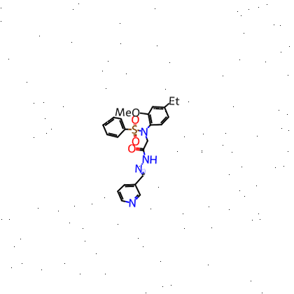 CCc1ccc(N(CC(=O)N/N=C/c2cccnc2)S(=O)(=O)c2ccccc2)c(OC)c1